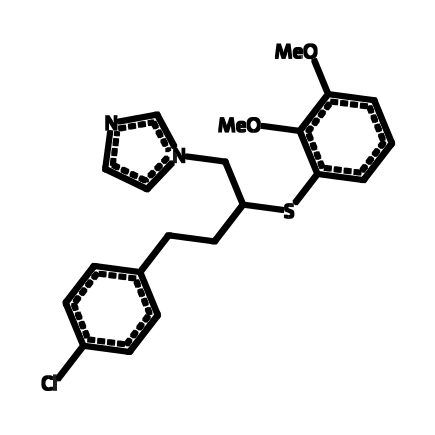 COc1cccc(SC(CCc2ccc(Cl)cc2)Cn2ccnc2)c1OC